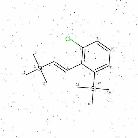 C[Si](C)(C)C=Cc1c(Cl)cccc1[Si](C)(C)C